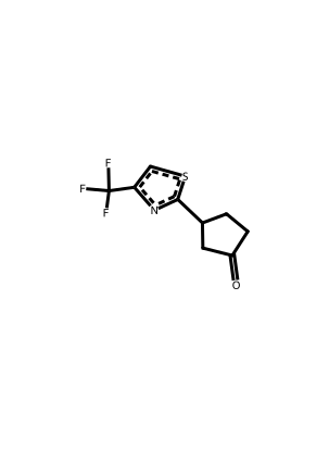 O=C1CCC(c2nc(C(F)(F)F)cs2)C1